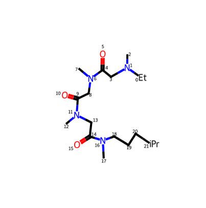 CCN(C)CC(=O)N(C)CC(=O)N(C)CC(=O)N(C)CCCC(C)C